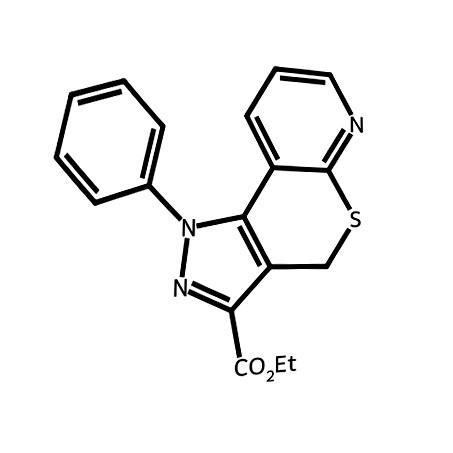 CCOC(=O)c1nn(-c2ccccc2)c2c1CSc1ncccc1-2